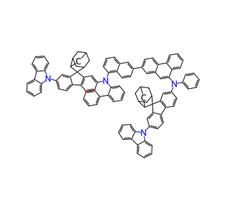 c1ccc(-c2ccccc2N(c2ccc3c(c2)C2(c4cc(-n5c6ccccc6c6ccccc65)ccc4-3)C3CC4CC(C3)C2C4)c2cccc3cc(-c4ccc5c(c4)cc(N(c4ccccc4)c4ccc6c(c4)C4(c7cc(-n8c9ccccc9c9ccccc98)ccc7-6)C6CC7CC(C6)C4C7)c4ccccc45)ccc23)cc1